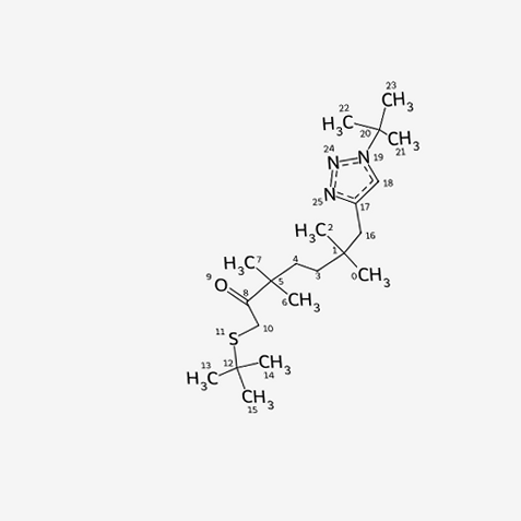 CC(C)(CCC(C)(C)C(=O)CSC(C)(C)C)Cc1cn(C(C)(C)C)nn1